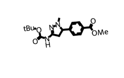 COC(=O)c1ccc(C2CC(NC(=O)OC(C)(C)C)=NN2C)cc1